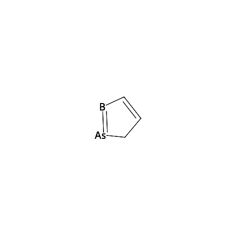 B1=[As]CC=C1